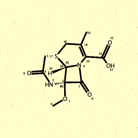 CO[C@]1(NC(C)=O)C(=O)N2C(C(=O)O)=C(C)CS[C@H]21